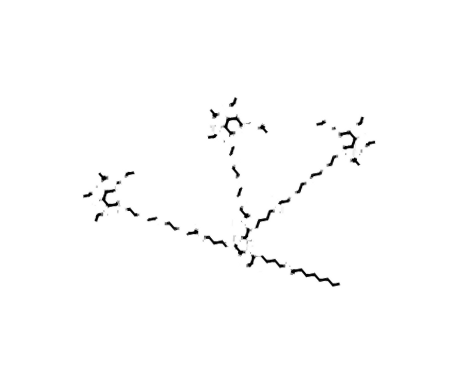 CCCCCCCC(=O)NCCCC[C@H](NC(=O)[C@H](CCCCNC(=O)COCCOCCOCCO[C@@H]1O[C@H](COC(C)=O)[C@H](OC(C)=O)[C@H](OC(C)=O)[C@H]1NC(C)=O)NC(=O)[C@H](CCCCNC(=O)COCCOCCOCCO[C@@H]1O[C@H](COC(C)=O)[C@H](OC(C)=O)[C@H](OC(C)=O)[C@H]1NC(C)=O)NC(=O)COCCOCCOCCO[C@@H]1O[C@H](COC(C)=O)[C@H](OC(C)=O)[C@H](OC(C)=O)[C@H]1NC(C)=O)C(=O)O